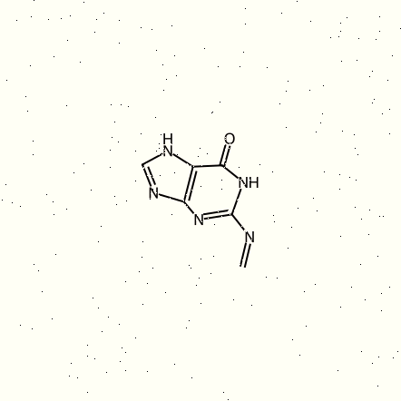 C=Nc1nc2nc[nH]c2c(=O)[nH]1